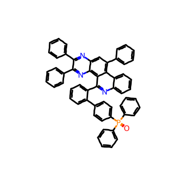 O=P(c1ccccc1)(c1ccccc1)c1ccc(-c2ccccc2-c2nc3ccccc3c3c(-c4ccccc4)cc4nc(-c5ccccc5)c(-c5ccccc5)nc4c23)cc1